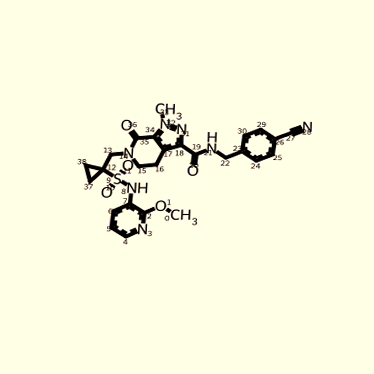 COc1ncccc1NS(=O)(=O)C1(CN2CCc3c(C(=O)NCc4ccc(C#N)cc4)nn(C)c3C2=O)CC1